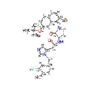 CC(C)(C)[Si](C)(C)Oc1ccc2ccc(Br)c(N3CCC(NC(=O)Cc4cncn4Cc4ccc(C#N)c(F)c4)C3=O)c2c1